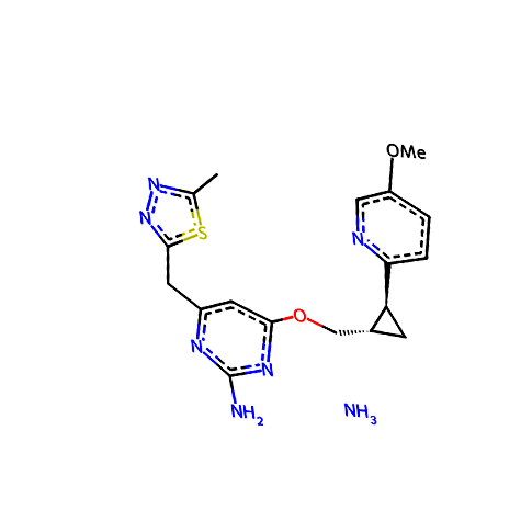 COc1ccc([C@H]2C[C@@H]2COc2cc(Cc3nnc(C)s3)nc(N)n2)nc1.N